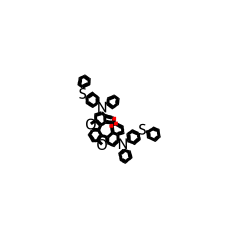 c1ccc(Sc2ccc(N(c3ccccc3)c3cc4oc5ccc6oc7cc(N(c8ccccc8)c8ccc(Sc9ccccc9)cc8)c8ccccc8c7c6c5c4c4ccccc34)cc2)cc1